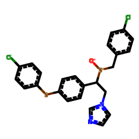 [O-][S+](Cc1ccc(Cl)cc1)C(Cn1ccnc1)c1ccc(Sc2ccc(Cl)cc2)cc1